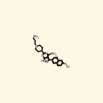 CCOc1ccc2cc(-c3n[nH]c4nc(C5CCN(CCCN)CC5)nc(N)c34)ccc2c1